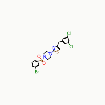 O=S(=O)(c1cccc(Br)c1)N1CCN(c2nc(Cc3cc(Cl)cc(Cl)c3)cs2)CC1